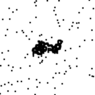 CCC(CCN(C)CC(CCCc1c(F)cnc2ccc(OC)cc12)C(=O)O)c1cc(F)ccc1F